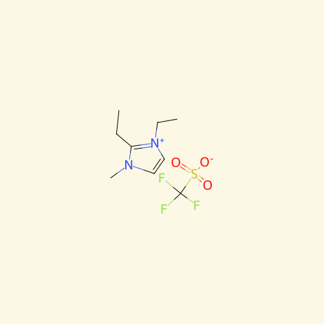 CCc1n(C)cc[n+]1CC.O=S(=O)([O-])C(F)(F)F